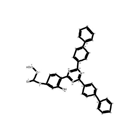 CCCCCCCCOC(CC)Oc1ccc(-c2nc(-c3ccc(-c4ccccc4)cc3)nc(-c3ccc(-c4ccccc4)cc3)n2)c(O)c1